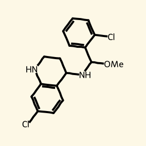 COC(NC1CCNc2cc(Cl)ccc21)c1ccccc1Cl